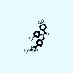 O=C(C1CCS(=O)(=O)CC1)N(Cc1ccc(-c2noc(C(F)(F)F)n2)cc1)c1cccc(C(F)(F)F)c1